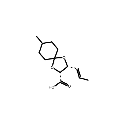 C/C=C/[C@H]1OC2(CCC(C)CC2)O[C@H]1C(=O)O